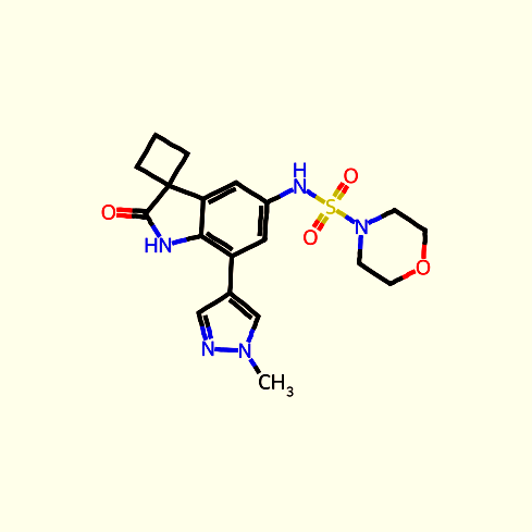 Cn1cc(-c2cc(NS(=O)(=O)N3CCOCC3)cc3c2NC(=O)C32CCC2)cn1